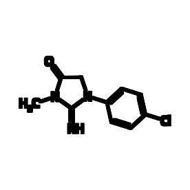 CN1C(=N)N(c2ccc(Cl)cc2)CC1=O